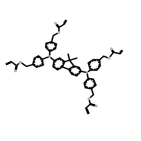 C=CC(=O)OCc1ccc(N(c2ccc(COC(=O)C=C)cc2)c2ccc3c(c2)C(C)(C)c2cc(N(c4ccc(COC(=O)C=C)cc4)c4ccc(COC(=O)C=C)cc4)ccc2-3)cc1